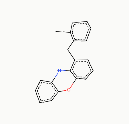 Cc1ccccc1Cc1cccc2c1[N]c1ccccc1O2